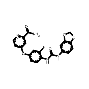 NC(=O)c1cc(Oc2ccc(NC(=O)Nc3ccc4c(c3)OCO4)c(F)c2)ccn1